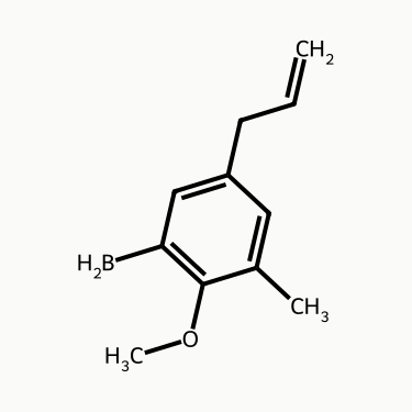 Bc1cc(CC=C)cc(C)c1OC